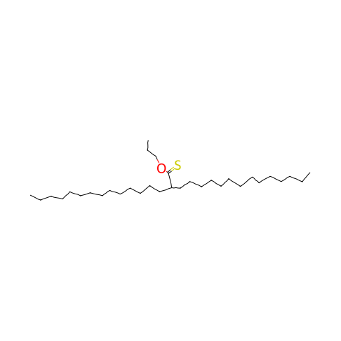 CCCCCCCCCCCCCCC(CCCCCCCCCCCCCC)C(=S)OCCC